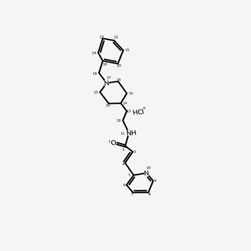 Cl.O=C(C=Cc1ccccn1)NCCC1CCN(Cc2ccccc2)CC1